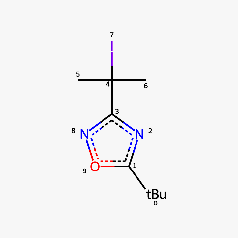 CC(C)(C)c1nc(C(C)(C)I)no1